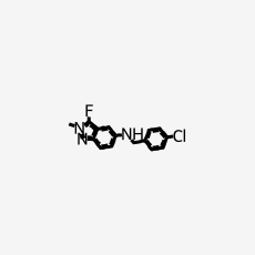 Cn1nc2ccc(NCc3ccc(Cl)cc3)cc2c1F